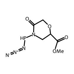 COC(=O)C1CN(PN=[N+]=[N-])C(=O)CO1